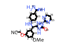 COc1cc(OCC#N)cc(C(Nc2ccc(C(=N)N)cc2)c2nn(-c3ncccn3)c(=O)[nH]2)c1